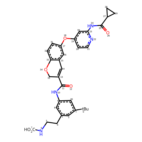 CC(C)(C)c1cc(CCNC(=O)O)cc(NC(=O)C2=Cc3cc(Oc4ccnc(NC(=O)C5CC5)c4)ccc3OC2)c1